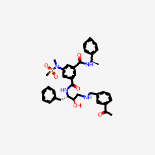 CC(=O)c1cccc(CNC[C@@H](O)[C@H](Cc2ccccc2)NC(=O)c2cc(C(=O)N[C@H](C)c3ccccc3)cc(N(C)S(C)(=O)=O)c2)c1